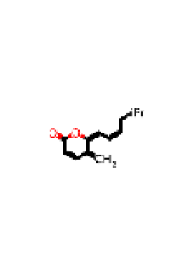 C=c1ccc(=O)o/c1=C/C=C\CC(C)C